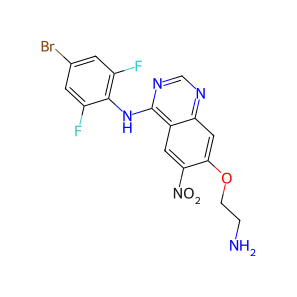 NCCOc1cc2ncnc(Nc3c(F)cc(Br)cc3F)c2cc1[N+](=O)[O-]